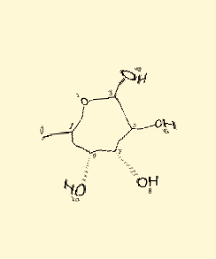 CC1OC(O)C(O)[C@H](O)[C@@H]1O